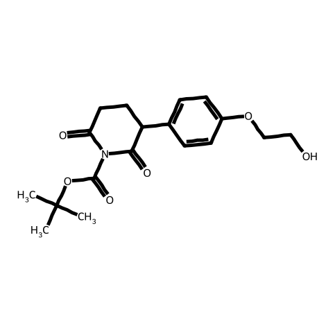 CC(C)(C)OC(=O)N1C(=O)CCC(c2ccc(OCCO)cc2)C1=O